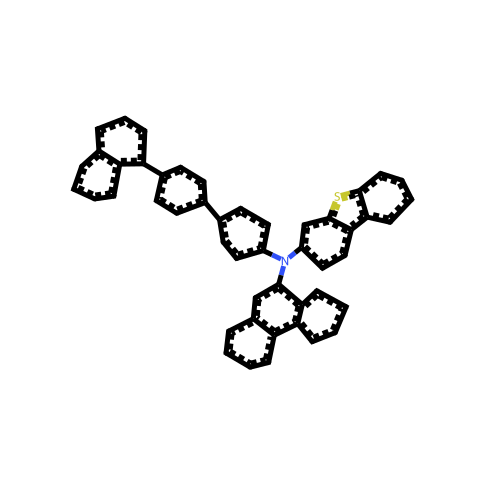 c1ccc2c(-c3ccc(-c4ccc(N(c5ccc6c(c5)sc5ccccc56)c5cc6ccccc6c6ccccc56)cc4)cc3)cccc2c1